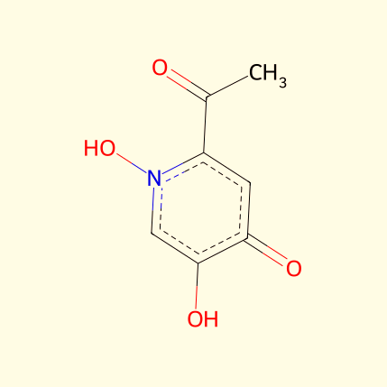 CC(=O)c1cc(=O)c(O)cn1O